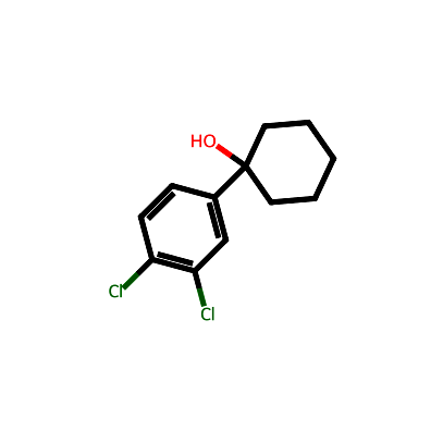 OC1(c2ccc(Cl)c(Cl)c2)CCCCC1